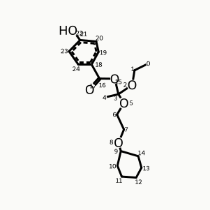 CCOC(C)(OCCOC1CCCCC1)OC(=O)c1ccc(O)cc1